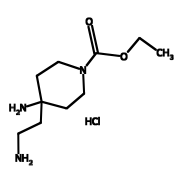 CCOC(=O)N1CCC(N)(CCN)CC1.Cl